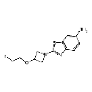 Nc1ccc2nc(N3CC(OCCF)C3)sc2c1